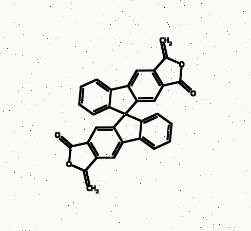 C=C1OC(=O)c2cc3c(cc21)-c1ccccc1C31c2ccccc2-c2cc3c(cc21)C(=O)OC3=C